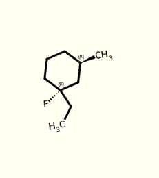 CC[C@@]1(F)CCC[C@@H](C)C1